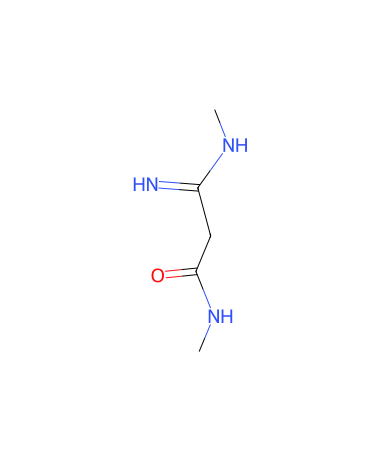 CNC(=N)CC(=O)NC